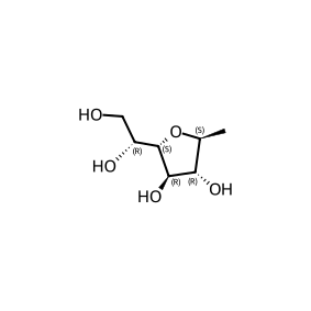 C[C@@H]1O[C@@H]([C@H](O)CO)[C@H](O)[C@H]1O